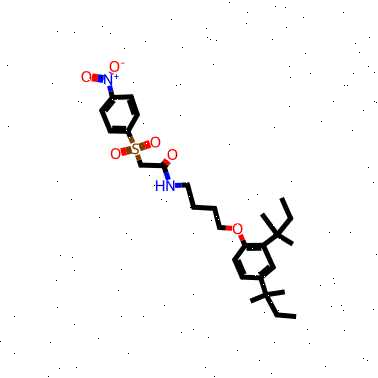 CCC(C)(C)c1ccc(OCCCCNC(=O)CS(=O)(=O)c2ccc([N+](=O)[O-])cc2)c(C(C)(C)CC)c1